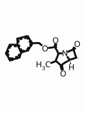 CC1C(=O)[C@@H]2CC(=O)N2C1C(=O)OCc1ccc2ccccc2c1